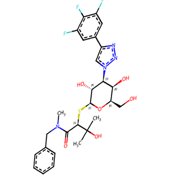 CN(Cc1ccccc1)C(=O)[C@@H](S[C@@H]1O[C@H](CO)[C@H](O)[C@H](n2cc(-c3cc(F)c(F)c(F)c3)nn2)[C@H]1O)C(C)(C)O